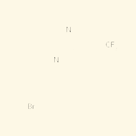 FC(F)(F)Cc1ncc2ccc(Br)cn12